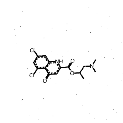 CC(CN(C)C)OC(=O)c1cc(=O)c2c(Cl)cc(Cl)cc2[nH]1